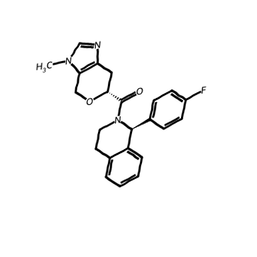 Cn1cnc2c1CO[C@@H](C(=O)N1CCc3ccccc3[C@@H]1c1ccc(F)cc1)C2